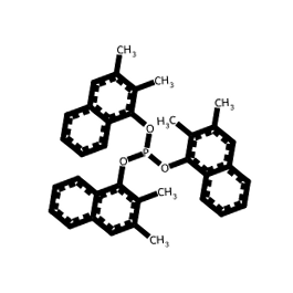 Cc1cc2ccccc2c(OP(Oc2c(C)c(C)cc3ccccc23)Oc2c(C)c(C)cc3ccccc23)c1C